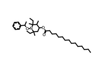 CCCCCCCCCCCCCCC(=O)OC1CC(C)(CC)N(OC(C)c2ccccc2)C(C)(CC)C1C